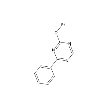 CCOc1ncnc(-c2ccccc2)n1